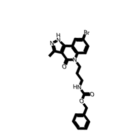 Cc1n[nH]c2c1c(=O)n(CCCNC(=O)OCc1ccccc1)c1ccc(Br)cc21